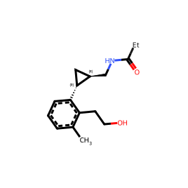 CCC(=O)NC[C@@H]1C[C@H]1c1cccc(C)c1CCO